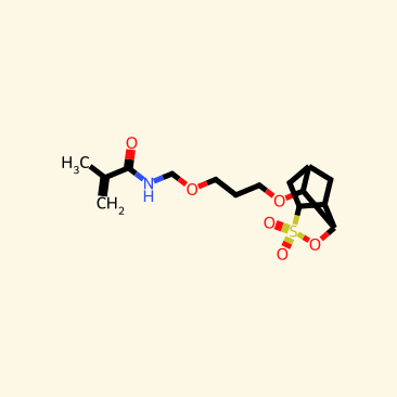 C=C(C)C(=O)NCOCCCOC1C2CC3C1OS(=O)(=O)C3C2